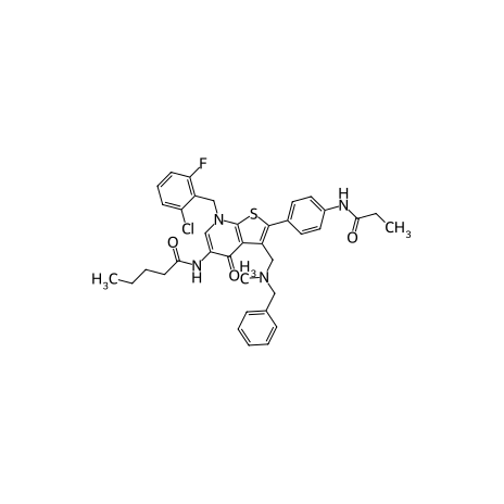 CCCCC(=O)Nc1cn(Cc2c(F)cccc2Cl)c2sc(-c3ccc(NC(=O)CC)cc3)c(CN(C)Cc3ccccc3)c2c1=O